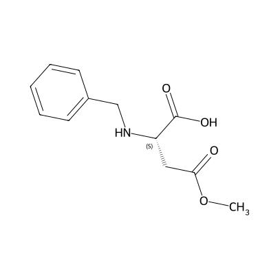 COC(=O)C[C@H](NCc1ccccc1)C(=O)O